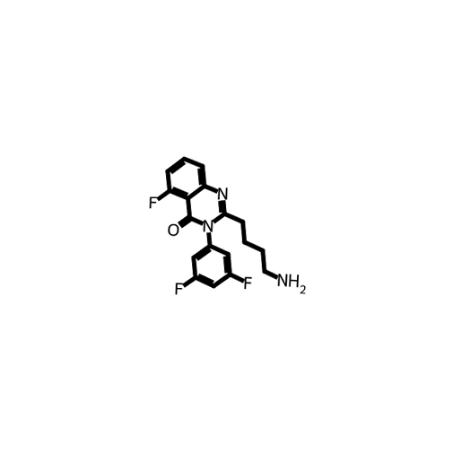 NCCCCc1nc2cccc(F)c2c(=O)n1-c1cc(F)cc(F)c1